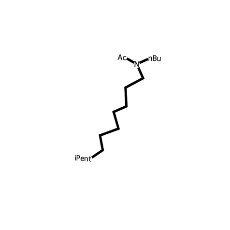 CCCCN(CCCCCCCC(C)CCC)C(C)=O